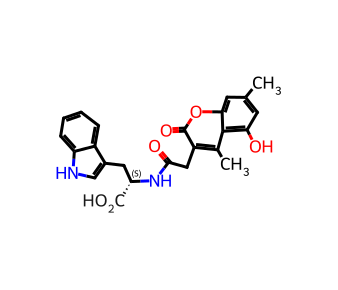 Cc1cc(O)c2c(C)c(CC(=O)N[C@@H](Cc3c[nH]c4ccccc34)C(=O)O)c(=O)oc2c1